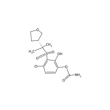 CC(C)([C@@H]1CCOC1)S(=O)(=O)c1c(Cl)ccc(OC(N)=O)c1O